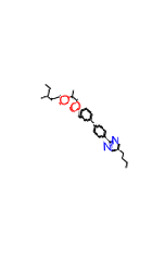 CCCCc1cnc(-c2ccc(-c3ccc(OCC(C)OCCC(C)CC)cc3)cc2)nc1